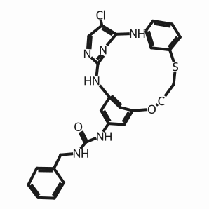 O=C(NCc1ccccc1)Nc1cc2cc(c1)OCCSc1cccc(c1)Nc1nc(ncc1Cl)N2